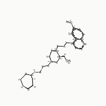 COc1ccc2nccc(CCC[C@@H]3CCN(CCCSC4CCCCCC4)C[C@@H]3CO)c2c1